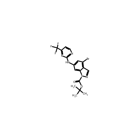 CC(C)(C)OC(=O)n1ncc2c(Br)cc(Nc3nccc(C(F)(F)F)n3)cc21